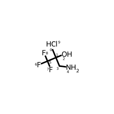 CC(O)(CN)C(F)(F)F.Cl